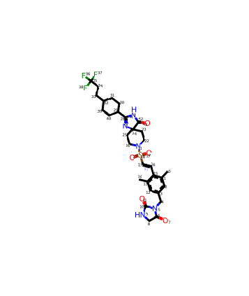 Cc1cc(CN2C(=O)CNC2=O)cc(C)c1/C=C/S(=O)(=O)N1CCC2(CC1)N=C(C1CCC(CCC(F)(F)F)CC1)NC2=O